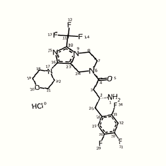 Cl.N[C@@H](CC(=O)N1CCn2c(C(F)(F)F)nc(N3CCOCC3)c2C1)Cc1cc(F)c(F)cc1F